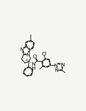 Cc1ccc2c(c1)nc1n2C[C@@](NC(=O)c2c(C)cc(-n3cnc(C)n3)cc2Cl)(c2ccccc2)CC1